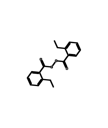 CCc1ccccc1C(=O)OOC(=O)c1ccccc1CC